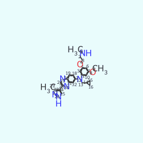 CNCCOc1cc(OC)cc(N(CC2CC2)c2ccc3ncc(-c4c[nH]nc4C)nc3c2)c1